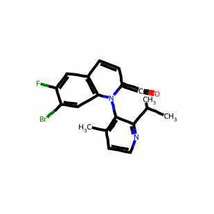 Cc1ccnc(C(C)C)c1N1C(=C=O)C=Cc2cc(F)c(Br)cc21